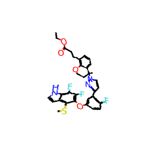 CCOC(=O)CCc1cccc2c1OCCC2(C)n1ccc(-c2cc(Oc3c(F)c(F)c4[nH]ccc4c3SC)ccc2F)n1